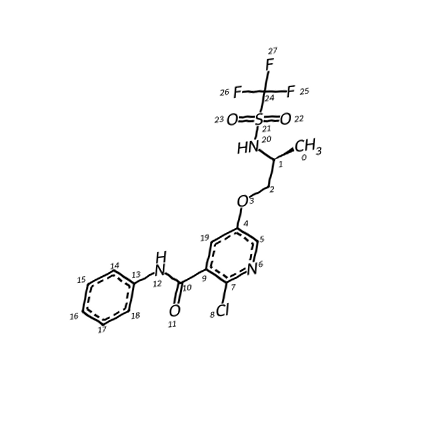 C[C@@H](COc1cnc(Cl)c(C(=O)Nc2ccccc2)c1)NS(=O)(=O)C(F)(F)F